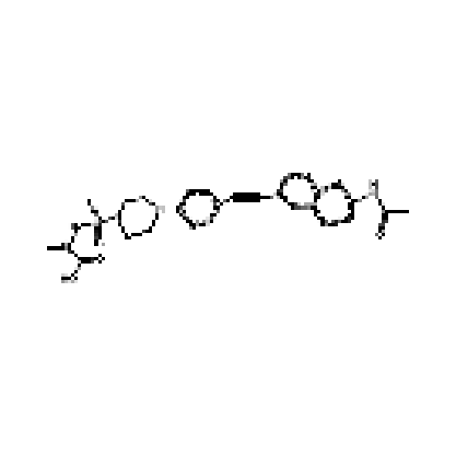 CC(=O)Nc1ccc2cc(C#Cc3ccc(N4CCN(S(=O)(=O)N[C@H](C)C(=O)O)CC4)cc3)ccc2c1